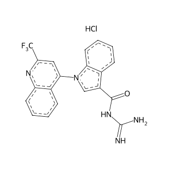 Cl.N=C(N)NC(=O)c1cn(-c2cc(C(F)(F)F)nc3ccccc23)c2ccccc12